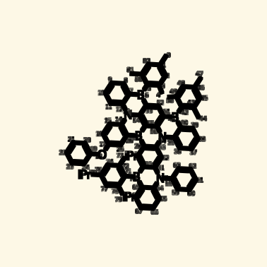 Cc1cc(C)c(B2c3ccccc3N3c4ccc(Oc5ccccc5)cc4B4c5cc6c(cc5N5c7ccccc7B(c7c(C)cc(C)cc7C)c7cc2c3c4c75)N(c2ccccc2)c2ccccc2B6c2c(C(C)C)cc(C(C)C)cc2C(C)C)c(C)c1